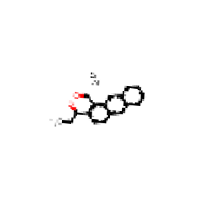 C=CC(=O)c1ccc2cc3ccccc3cc2c1C=O.[Al].[Cr]